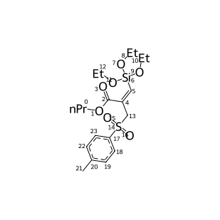 CCCOC(=O)C(=C[Si](OCC)(OCC)OCC)CS(=O)(=O)c1ccc(C)cc1